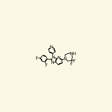 Fc1ccc(-c2nc3ccc(N4CCNCC(F)(F)C4)nc3n2-c2ccncc2)c(F)c1